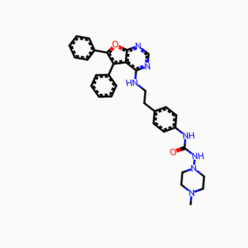 CN1CCN(NC(=O)Nc2ccc(CCNc3ncnc4oc(-c5ccccc5)c(-c5ccccc5)c34)cc2)CC1